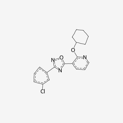 Clc1cccc(-c2noc(-c3cccnc3OC3CCCCC3)n2)c1